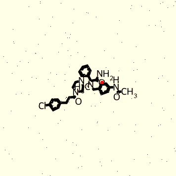 CC(=O)Nc1ccc(CN(C)C(C(N)=O)c2ccccc2N2CCN(C(=O)[CH]Cc3ccc(Cl)cc3)CC2)cc1